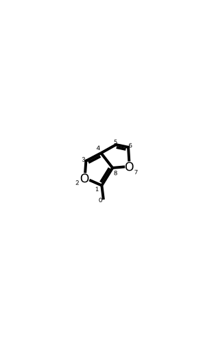 Cc1occ2ccoc12